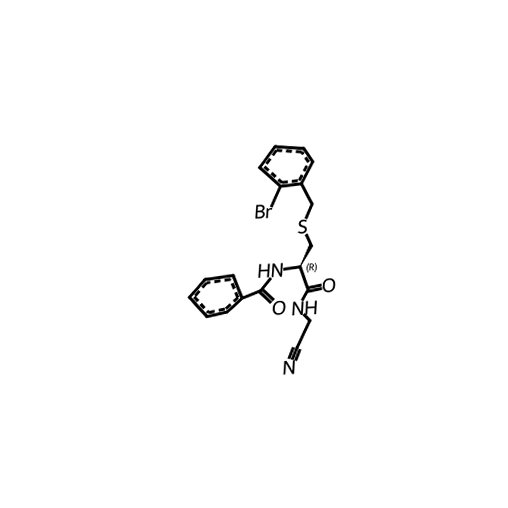 N#CCNC(=O)[C@H](CSCc1ccccc1Br)NC(=O)c1ccccc1